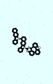 c1ccc2cc3c(cc2c1)c1ccccc1n3-c1cccc2cc3c(cc12)c1ccccc1n3-c1nc(-c2cccc3oc4ccccc4c23)c2ccccc2n1